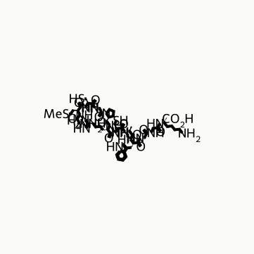 CSCC[C@H](NC(=O)[C@H](C)N)C(=O)N[C@@H](CS)C(=O)NCC(=O)N1CCC[C@H]1C(=O)N[C@@H](CCCNC(=N)N)C(=O)N[C@@H](CS)C(=O)N[C@@H](C)C(=O)N[C@@H](Cc1c[nH]c2ccccc12)C(=O)NCC(=O)NCC(=O)N[C@@H](CCCCN)C(=O)O